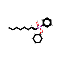 CCCCCCC=CP(=O)(OC1CCCCC1)c1ccccc1